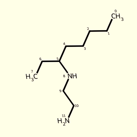 CCCCCC(CC)NCCN